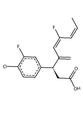 C=C(/C=C(F)\C=C/C)[C@@H](CC(=O)O)c1ccc(Cl)c(F)c1